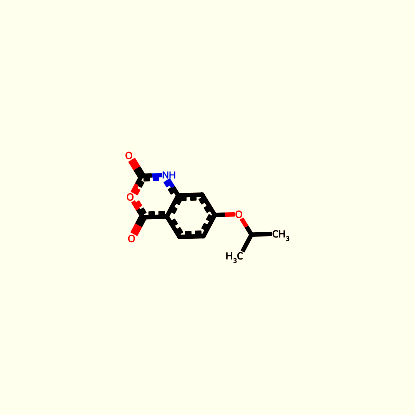 CC(C)Oc1ccc2c(=O)oc(=O)[nH]c2c1